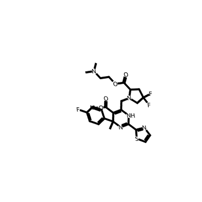 COC(=O)C1=C(CN2CC(F)(F)CC2C(=O)OCCN(C)C)NC(c2nccs2)=NC1(C)c1ccc(F)cc1